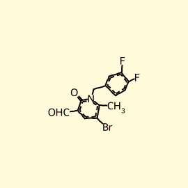 Cc1c(Br)cc(C=O)c(=O)n1Cc1ccc(F)c(F)c1